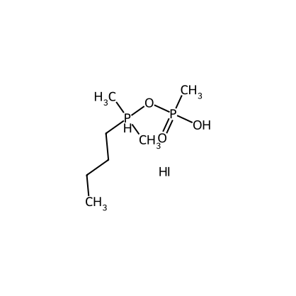 CCCC[PH](C)(C)OP(C)(=O)O.I